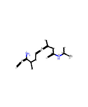 C=C=C(N)C(C)CC=C=C(C)CC(=C)NC(C)C(C)C